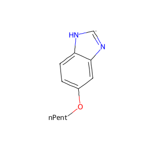 CCCCCOc1ccc2[nH][c]nc2c1